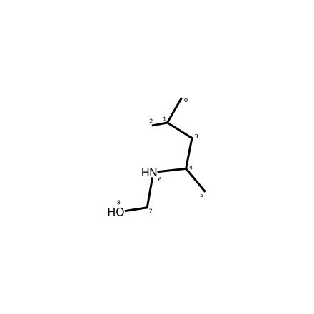 CC(C)CC(C)NCO